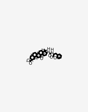 COC(=O)[C@@]1(C)CC[C@]2(C)CC[C@]3(C)C(=CC(=O)[C@@H]4[C@@]5(C)CCC(NC(=O)NC(Cc6ccccc6)C(=O)O)C(C)(C)[C@@H]5CC[C@]43C)[C@H]2C1